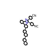 [C-]#[N+]c1ccc(-c2c(-c3ccc(C#N)cc3)nc3c4ccccc4c4cc(-c5ccc6cc(-c7ccc8ccccc8c7)ccc6c5)ccc4n23)cc1